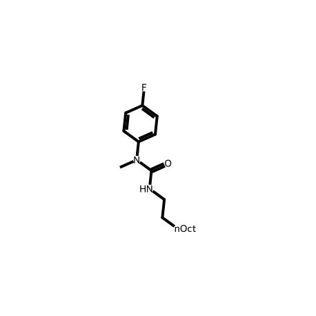 CCCCCCCCCCNC(=O)N(C)c1ccc(F)cc1